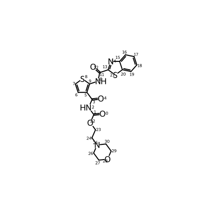 O=C(NC(=O)c1ccsc1NC(=O)c1nc2ccccc2s1)OCCN1CCOCC1